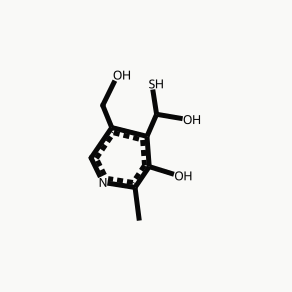 Cc1ncc(CO)c(C(O)S)c1O